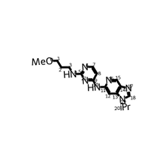 COCCCNc1nccc(Nc2cc3c(cn2)ncn3C(C)C)n1